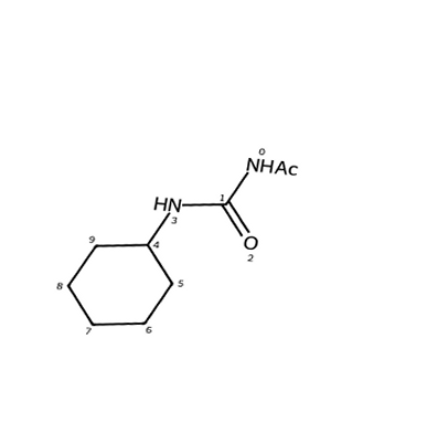 CC(=O)NC(=O)NC1CCCCC1